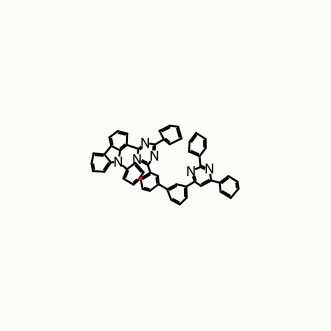 c1ccc(-c2cc(-c3cccc(-c4cccc(-c5nc(-c6ccccc6)nc(-c6cccc7c8ccccc8n(-c8ccccc8)c67)n5)c4)c3)nc(-c3ccccc3)n2)cc1